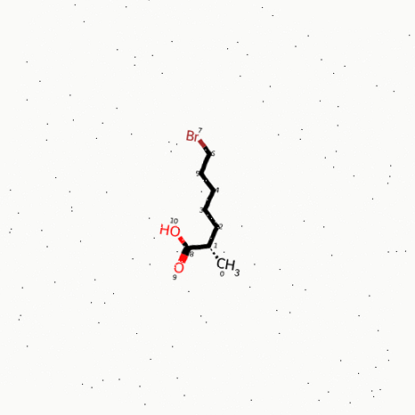 C[C@@H](CCCCCBr)C(=O)O